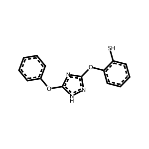 Sc1ccccc1Oc1n[nH]c(Oc2ccccc2)n1